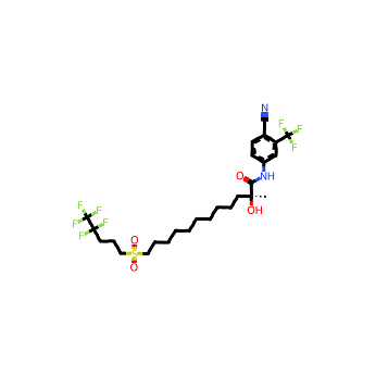 C[C@](O)(CCCCCCCCCCS(=O)(=O)CCCC(F)(F)C(F)(F)F)C(=O)Nc1ccc(C#N)c(C(F)(F)F)c1